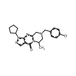 CC1CN(Cc2ccc(Cl)cc2)Cc2nc3c(cnn3C3CCCC3)c(=O)n21